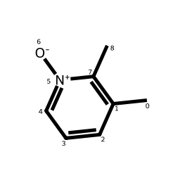 Cc1ccc[n+]([O-])c1C